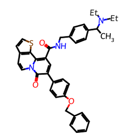 CCN(CC)C(C)c1ccc(CNC(=O)c2cc(-c3ccc(OCc4ccccc4)cc3)c(=O)n3ccc4ccsc4c23)cc1